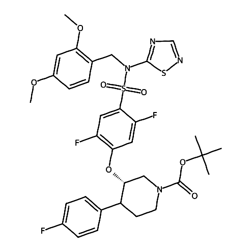 COc1ccc(CN(c2ncns2)S(=O)(=O)c2cc(F)c(O[C@@H]3CN(C(=O)OC(C)(C)C)CCC3c3ccc(F)cc3)cc2F)c(OC)c1